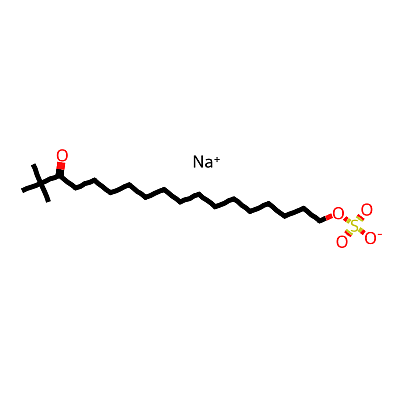 CC(C)(C)C(=O)CCCCCCCCCCCCCCCOS(=O)(=O)[O-].[Na+]